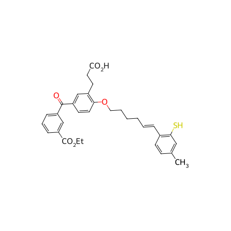 CCOC(=O)c1cccc(C(=O)c2ccc(OCCCCC=Cc3ccc(C)cc3S)c(CCC(=O)O)c2)c1